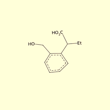 CCC(C(=O)O)c1ccccc1CO